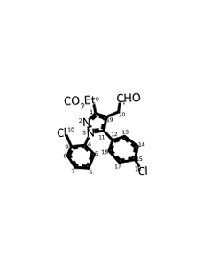 CCOC(=O)c1nn(-c2ccccc2Cl)c(-c2ccc(Cl)cc2)c1CC=O